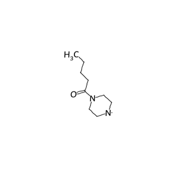 CCCCC(=O)N1CC[N]CC1